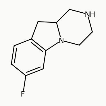 Fc1ccc2c(c1)N1CCNCC1C2